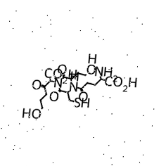 NC(CCC(=O)NC(CS)C(=O)N(C(=O)CCCO)C(C(=O)O)C(=O)CCCO)C(=O)O